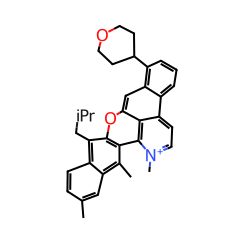 Cc1ccc2c(CC(C)C)c3c(c(C)c2c1)-c1c2c(cc4c(C5CCOCC5)cccc4c2cc[n+]1C)O3